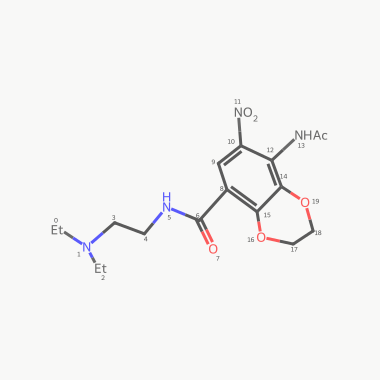 CCN(CC)CCNC(=O)c1cc([N+](=O)[O-])c(NC(C)=O)c2c1OCCO2